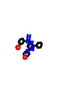 COc1cccc(Nc2cc(N3CCOCC3)nc(-c3ccccc3)n2)c1